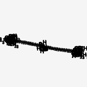 CC(=O)OC[C@H](OC(C)=O)[C@@H](OC(C)=O)[C@H](OC(C)=O)[C@@H](OC(C)=O)C(=O)NCCCCCCCCCCCCCCCCCCCCCCCC(=O)NC(CNC(=O)CCCCCCCCCCCCCCCCCCCCCCCNC(=O)[C@@H](OC(C)=O)[C@H](OC(C)=O)[C@@H](OC(C)=O)[C@@H](COC(C)=O)OC(C)=O)C(=O)O